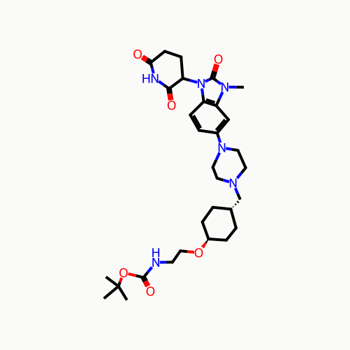 Cn1c(=O)n(C2CCC(=O)NC2=O)c2ccc(N3CCN(C[C@H]4CC[C@H](OCCNC(=O)OC(C)(C)C)CC4)CC3)cc21